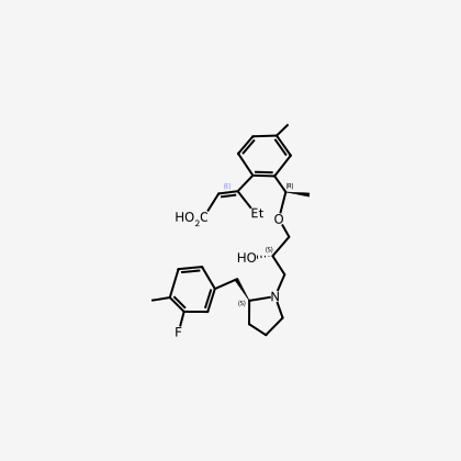 CC/C(=C\C(=O)O)c1ccc(C)cc1[C@@H](C)OC[C@@H](O)CN1CCC[C@H]1Cc1ccc(C)c(F)c1